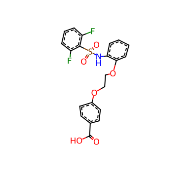 O=C(O)c1ccc(OCCOc2ccccc2NS(=O)(=O)c2c(F)cccc2F)cc1